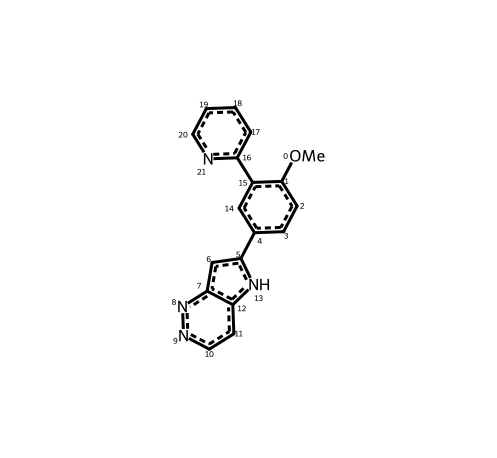 COc1ccc(-c2cc3nnccc3[nH]2)cc1-c1ccccn1